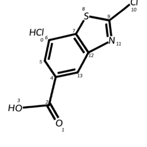 Cl.O=C(O)c1ccc2sc(Cl)nc2c1